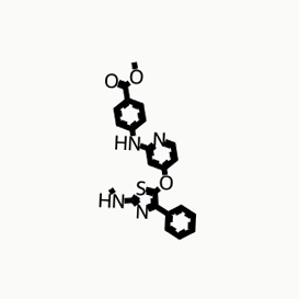 CNc1nc(-c2ccccc2)c(Oc2ccnc(Nc3ccc(C(=O)OC)cc3)c2)s1